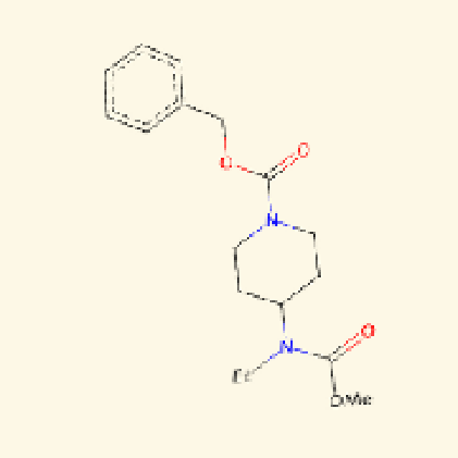 CCN(C(=O)OC)C1CCN(C(=O)OCc2ccccc2)CC1